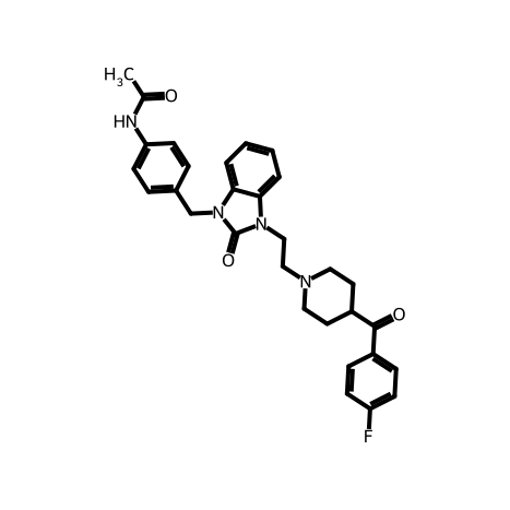 CC(=O)Nc1ccc(Cn2c(=O)n(CCN3CCC(C(=O)c4ccc(F)cc4)CC3)c3ccccc32)cc1